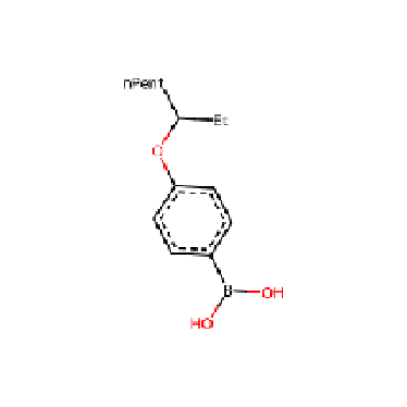 CCCCCC(CC)Oc1ccc(B(O)O)cc1